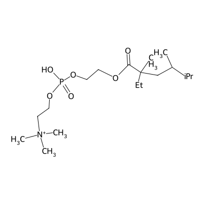 CCC(C)(CC(C)C(C)C)C(=O)OCCOP(=O)(O)OCC[N+](C)(C)C